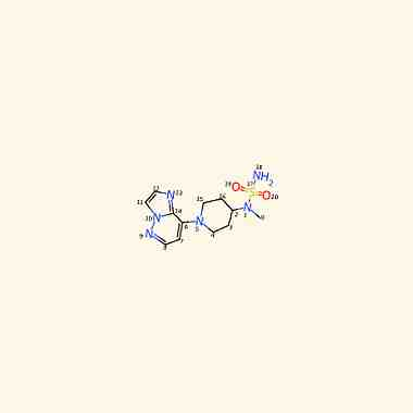 CN(C1CCN(c2ccnn3ccnc23)CC1)S(N)(=O)=O